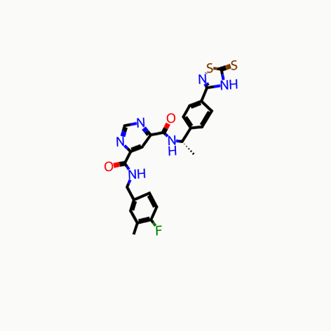 Cc1cc(CNC(=O)c2cc(C(=O)N[C@@H](C)c3ccc(-c4nsc(=S)[nH]4)cc3)ncn2)ccc1F